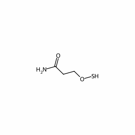 NC(=O)CCOS